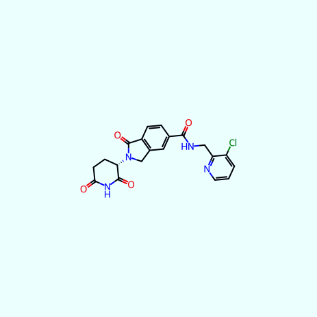 O=C1CC[C@H](N2Cc3cc(C(=O)NCc4ncccc4Cl)ccc3C2=O)C(=O)N1